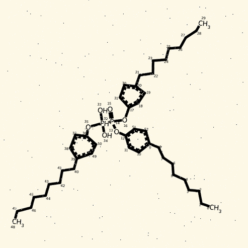 CCCCCCCCCc1ccc(OP(=O)(Oc2ccc(CCCCCCCCC)cc2)[PH](O)(O)Oc2ccc(CCCCCCCCC)cc2)cc1